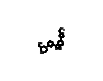 CCn1cc(-c2cc3c(-c4cccc(N5CCNCC(CO)C5)n4)n[nH]c3cn2)cn1